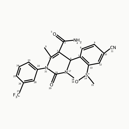 CC1=C(C(N)=O)C(c2ccc(C#N)cc2[S+](C)[O-])N(C)C(=O)N1c1cccc(C(F)(F)F)c1